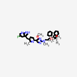 COc1nc(N(C)CCCO[Si](c2ccccc2)(c2ccccc2)C(C)(C)C)ncc1-c1ccc(Cc2c[nH]c3ncc(F)cc23)c(C)n1